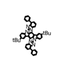 CC(C)(C)c1ccc2c(c1)c1c3c4c(c5cc(C(C)(C)C)ccc5n4c4nc5c(-c6ccccc6)cccc5n34)c3c1n2c1nc2c(-c4ccccc4)cccc2n31